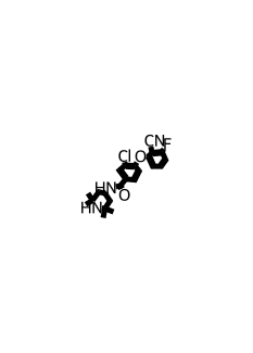 CC1(C)CC(NC(=O)c2ccc(Oc3cccc(F)c3C#N)c(Cl)c2)CC(C)(C)N1